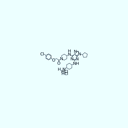 Cl.Cl.NC1CCC(Nc2nc(NC3CCN(C(=O)COc4ccc(Cl)cc4)CC3)c3ncn(C4CCCC4)c3n2)CC1